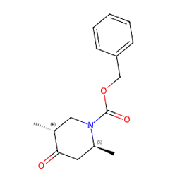 C[C@@H]1CN(C(=O)OCc2ccccc2)[C@@H](C)CC1=O